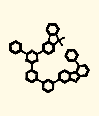 CC1(C)c2ccccc2-c2cc(-c3nc(-c4ccccc4)nc(-c4cccc(-c5cccc(-c6ccc7c(c6)oc6cccc(-c8ccccc8)c67)c5)c4)n3)ccc21